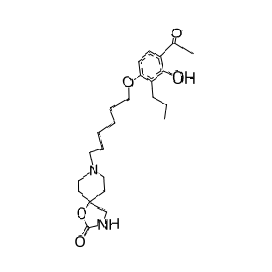 CCCc1c(OCCCCCCN2CCC3(CC2)CNC(=O)O3)ccc(C(C)=O)c1O